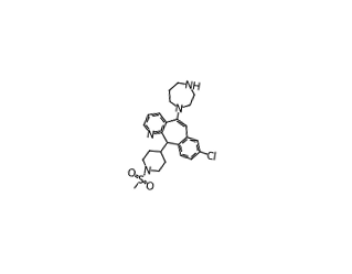 CS(=O)(=O)N1CCC(C2c3ccc(Cl)cc3C=C(N3CCCNCC3)c3cccnc32)CC1